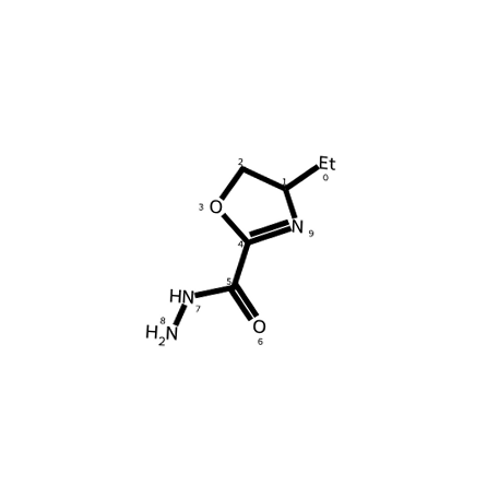 CCC1COC(C(=O)NN)=N1